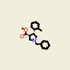 COC(=O)[C@@H]1CN(Cc2ccccc2)C[C@H]1c1ccccc1C